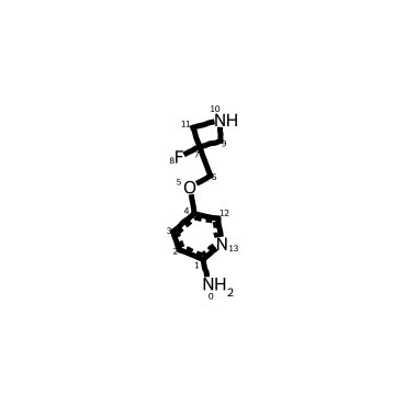 Nc1ccc(OCC2(F)CNC2)cn1